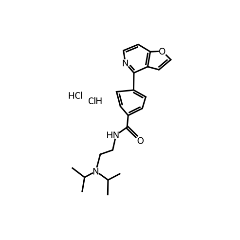 CC(C)N(CCNC(=O)c1ccc(-c2nccc3occc23)cc1)C(C)C.Cl.Cl